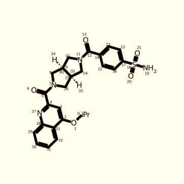 CC(C)Oc1cc(C(=O)N2C[C@H]3CN(C(=O)c4ccc(S(N)(=O)=O)cc4)C[C@H]3C2)nc2ccccc12